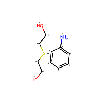 Nc1ccccc1.OCCSCCO